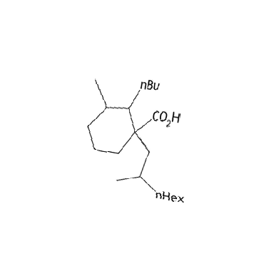 CCCCCCC(C)CC1(C(=O)O)CCCC(C)C1CCCC